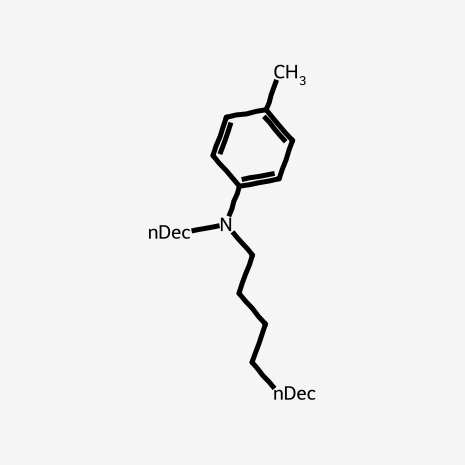 CCCCCCCCCCCCCCN(CCCCCCCCCC)c1ccc(C)cc1